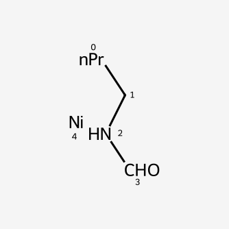 CCCCNC=O.[Ni]